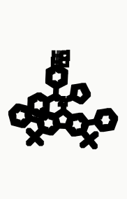 CC(C)(C)c1cc2c(cc1-c1ccccc1)[CH]([Zr]([C]1=CC=CC1)=[C](c1ccccc1)c1ccccc1)c1cc(-c3ccccc3)c(C(C)(C)C)cc1-2.Cl.Cl